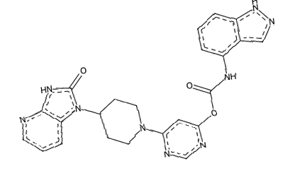 O=C(Nc1cccc2[nH]ncc12)Oc1cc(N2CCC(n3c(=O)[nH]c4ncccc43)CC2)ncn1